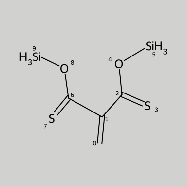 C=C(C(=S)O[SiH3])C(=S)O[SiH3]